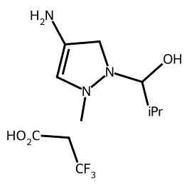 CC(C)C(O)N1CC(N)=CN1C.O=C(O)CC(F)(F)F